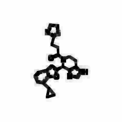 O=C(CCc1nccs1)N1CCc2[nH]cnc2[C@H]1c1cc2cccc(C3CC3)c2o1